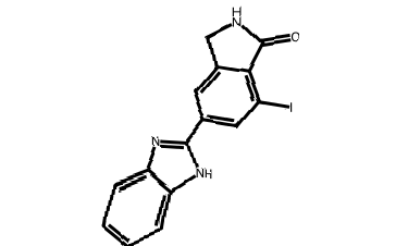 O=C1NCc2cc(-c3nc4ccccc4[nH]3)cc(I)c21